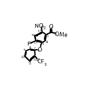 COC(=O)c1cc(Oc2ccccc2C(F)(F)F)c(F)cc1[N+](=O)[O-]